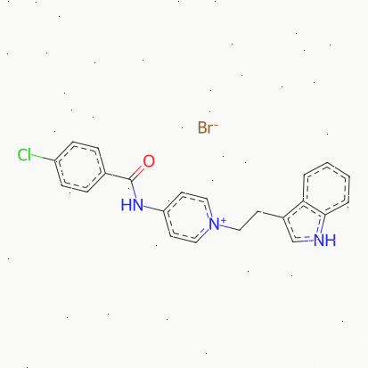 O=C(Nc1cc[n+](CCc2c[nH]c3ccccc23)cc1)c1ccc(Cl)cc1.[Br-]